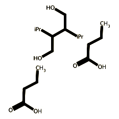 CC(C)C(CO)C(CO)C(C)C.CCCC(=O)O.CCCC(=O)O